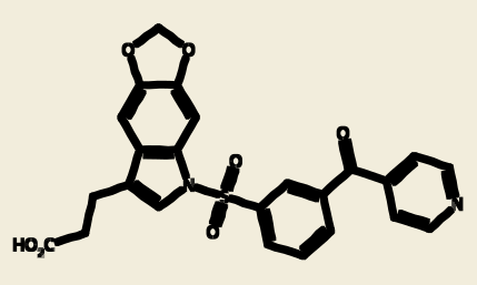 O=C(O)CCc1cn(S(=O)(=O)c2cccc(C(=O)c3ccncc3)c2)c2cc3c(cc12)OCO3